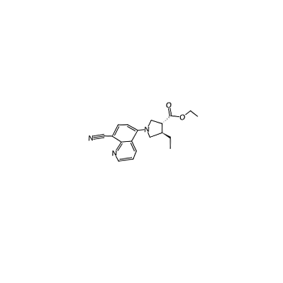 CCOC(=O)[C@H]1CN(c2ccc(C#N)c3ncccc23)C[C@@H]1CC